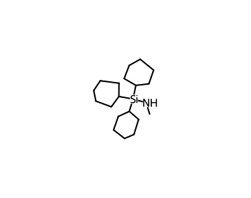 CN[Si](C1CCCCC1)(C1CCCCC1)C1CCCCC1